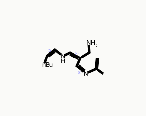 C=C(C)/N=C\C(=C/N/C=C\CCCC)CN